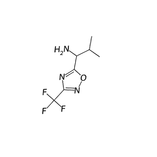 CC(C)C(N)c1nc(C(F)(F)F)no1